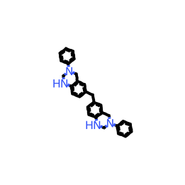 c1ccc(N2CNc3ccc(Cc4ccc5c(c4)CN(c4ccccc4)CN5)cc3C2)cc1